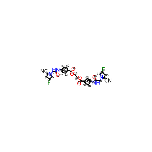 N#C[C@@H]1C[C@H](F)CN1CC(=O)NC12CCC(C(=O)OCCOC(=O)C34CCC(NC(=O)CN5C[C@@H](F)C[C@H]5C#N)(CC3)CC4)(CC1)CC2